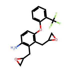 Nc1ccc(Oc2ccccc2C(F)(F)F)c(CC2CO2)c1CC1CO1